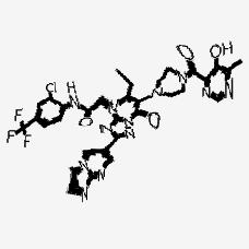 CCc1c(N2CCN(C(=O)c3ncnc(C)c3O)CC2)c(=O)n2nc(-c3cnc4nccn4c3)nc2n1CC(=O)Nc1ccc(C(F)(F)F)cc1Cl